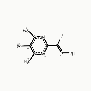 Cc1nc(C(Cl)=NO)nc(C)c1Br